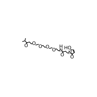 CC(C)C(=O)CCOCCOCCOCCOCCNC(=O)CCN1C(=O)C=CC1O